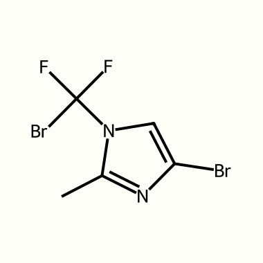 Cc1nc(Br)cn1C(F)(F)Br